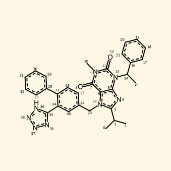 CC(C)c1nc2c(c(=O)n(C)c(=O)n2C(C)c2ccccc2)n1Cc1ccc(-c2ccccc2)c(-c2nnn[nH]2)c1